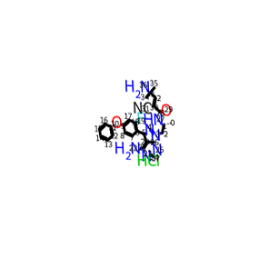 C[C@H](Cn1nc(-c2ccc(Oc3ccccc3)cc2F)c2c(N)ncnc21)NC(=O)/C(C#N)=C/C(C)(C)N.Cl